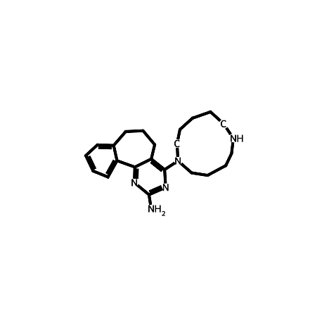 Nc1nc2c(c(N3CCCCCNCCCC3)n1)CCCc1ccccc1-2